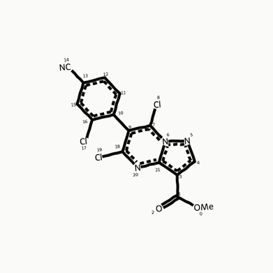 COC(=O)c1cnn2c(Cl)c(-c3ccc(C#N)cc3Cl)c(Cl)nc12